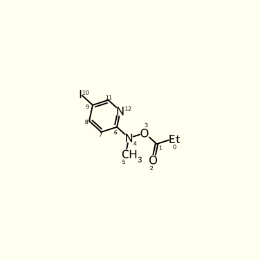 CCC(=O)ON(C)c1ccc(I)cn1